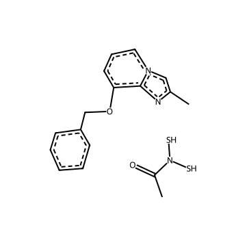 CC(=O)N(S)S.Cc1cn2cccc(OCc3ccccc3)c2n1